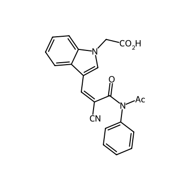 CC(=O)N(C(=O)C(C#N)=Cc1cn(CC(=O)O)c2ccccc12)c1ccccc1